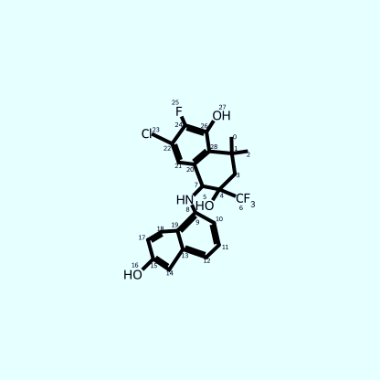 CC1(C)CC(O)(C(F)(F)F)C(Nc2cccc3cc(O)ccc23)c2cc(Cl)c(F)c(O)c21